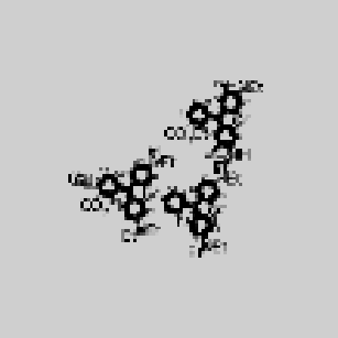 CCN(CC)c1ccc2c(-c3ccccc3C(=O)O)c3ccc(N(CC)CC)cc3[o+]c2c1.CCN(CC)c1ccc2c(-c3ccccc3C(=O)O)c3ccc(N(CC)CC)cc3[o+]c2c1.CCNc1cc2[o+]c3cc(NCC)c(C)cc3c(-c3ccccc3C(=O)OCC)c2cc1C.[Cl-].[Cl-].[Cl-]